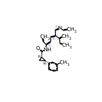 C=C\N=C/C(=C/C=C(\C=C)NC(=O)[C@@H]1C[C@H]1c1cccc(C)c1)C(=C)C=C